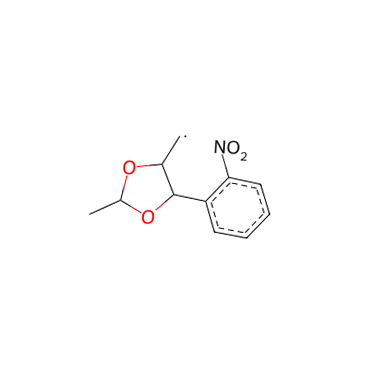 [CH2]C1OC(C)OC1c1ccccc1[N+](=O)[O-]